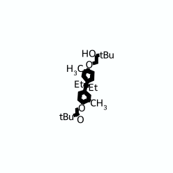 CCC(CC)(c1ccc(OCC(=O)C(C)(C)C)c(C)c1)c1ccc(OCC(O)C(C)(C)C)c(C)c1